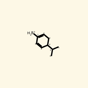 BC1=CCC(C(C)C)C=C1